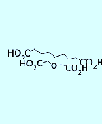 O=C(O)CCCCCCCC(=O)O.O=C(O)COCC(=O)O